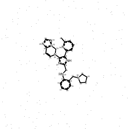 Cc1cccc(-c2[nH]c(CNc3ccccc3CN3CCCC3)nc2N2C=Cc3ncnn3C2)n1